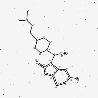 CN(C)CCN1CCN(C(C=O)n2c(=O)sc3ccc(Br)cc32)CC1